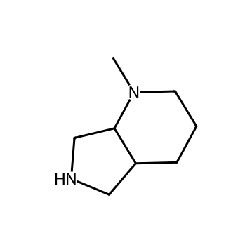 CN1CCCC2CNCC21